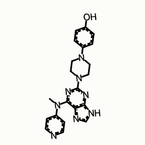 CN(c1ccncc1)c1nc(N2CCN(c3ccc(O)cc3)CC2)nc2[nH]cnc12